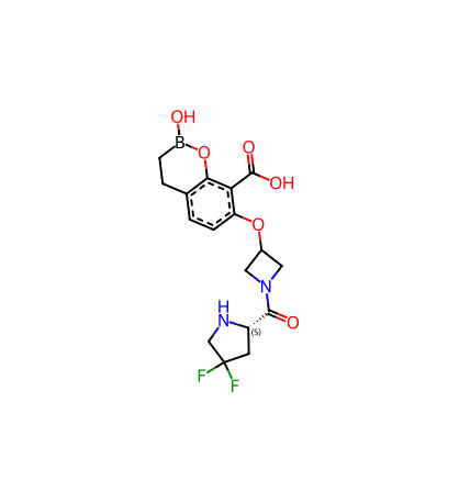 O=C(O)c1c(OC2CN(C(=O)[C@@H]3CC(F)(F)CN3)C2)ccc2c1OB(O)CC2